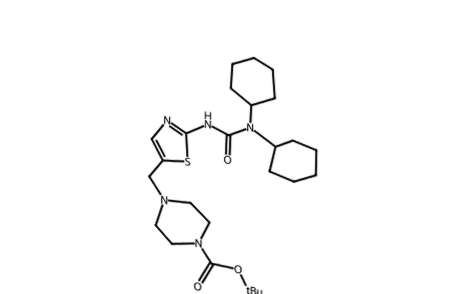 CC(C)(C)OC(=O)N1CCN(Cc2cnc(NC(=O)N(C3CCCCC3)C3CCCCC3)s2)CC1